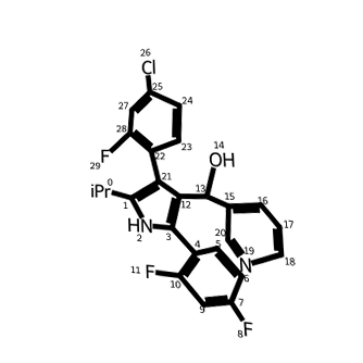 CC(C)c1[nH]c(-c2ccc(F)cc2F)c(C(O)c2cccnc2)c1-c1ccc(Cl)cc1F